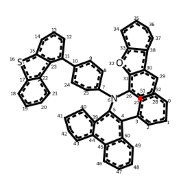 c1ccc(-c2c(N(c3ccc(-c4cccc5sc6ccccc6c45)cc3)c3cccc4c3oc3ccccc34)c3ccccc3c3ccccc23)cc1